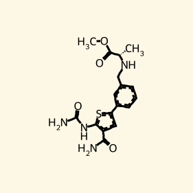 COC(=O)[C@H](C)NCc1cccc(-c2cc(C(N)=O)c(NC(N)=O)s2)c1